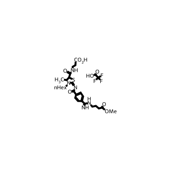 CCCCCCN1C(=NC(=O)c2ccc(C(=N)NCCCC(=O)OC)cc2)SC(C(=O)NCCC(=O)O)C1C.O=C(O)C(F)(F)F